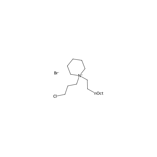 CCCCCCCCCC[N+]1(CCCCl)CCCCC1.[Br-]